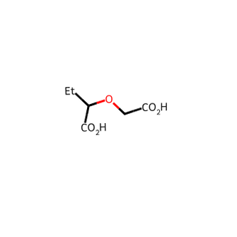 CCC(OCC(=O)O)C(=O)O